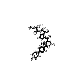 CC(C)CC(NC(=O)c1ccc(N2CCN(C)CC2)cc1)C(=O)N1CCC2C1C(=O)CN2C(=O)C(N)C(C)(C)C